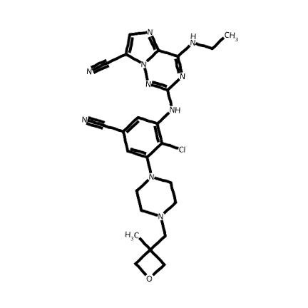 CCNc1nc(Nc2cc(C#N)cc(N3CCN(CC4(C)COC4)CC3)c2Cl)nn2c(C#N)cnc12